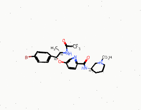 C[C@H](NC(=O)C(F)(F)F)[C@H](Oc1ccc(C(=O)N[C@H]2CCCN(C(=O)O)C2)nc1)c1ccc(Br)cc1